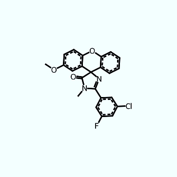 COc1ccc2c(c1)C1(N=C(c3cc(F)cc(Cl)c3)N(C)C1=O)c1ccccc1O2